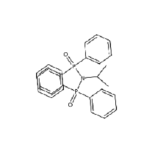 CC(C)N(P(=O)(c1ccccc1)c1ccccc1)P(=O)(c1ccccc1)c1ccccc1